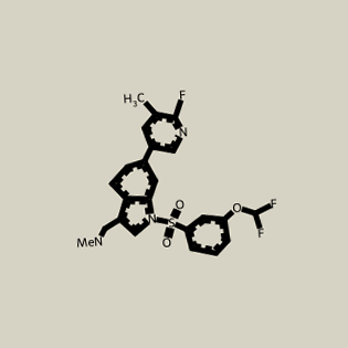 CNCc1cn(S(=O)(=O)c2cccc(OC(F)F)c2)c2cc(-c3cnc(F)c(C)c3)ccc12